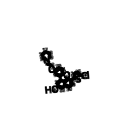 Oc1ccc2c(Oc3ccc(OCCN4CCCCC4)cc3)c(-c3ccc(Cl)s3)ccc2c1